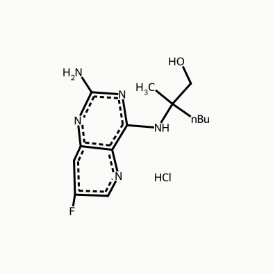 CCCCC(C)(CO)Nc1nc(N)nc2cc(F)cnc12.Cl